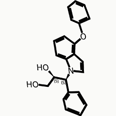 OC[C@@H](O)[C@H](c1ccccc1)n1ccc2c(Oc3ccccc3)cccc21